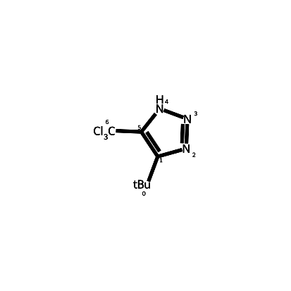 CC(C)(C)c1nn[nH]c1C(Cl)(Cl)Cl